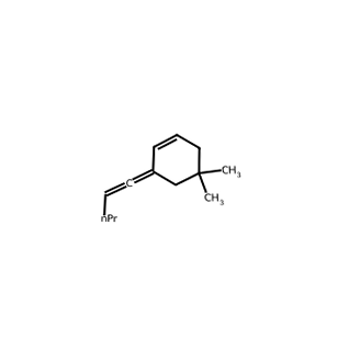 CCCC=C=C1C=CCC(C)(C)C1